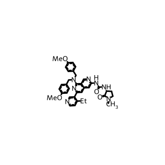 CCc1ccncc1-c1cc2cc(NC(=O)N[C@@H]3CCN(C)C3=O)ncc2c(N(Cc2ccc(OC)cc2)Cc2ccc(OC)cc2)n1